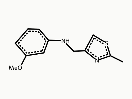 COc1cccc(NCc2csc(C)n2)c1